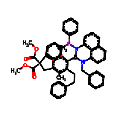 COC(=O)C1(C(=O)OC)Cc2c(C)c(CCc3ccccc3)c(B3N(Cc4ccccc4)c4cccc5cccc(c45)N3P(c3ccccc3)c3ccccc3)c(C)c2C1